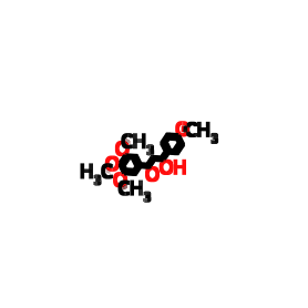 COc1ccc(C(O)CC(=O)c2cc(OC)c(OC)c(OC)c2)cc1